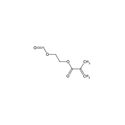 C=C(C)C(=O)OCCO[C]=O